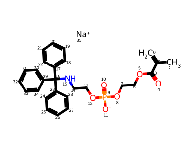 C=C(C)C(=O)OCCOP(=O)([O-])OCCNC(c1ccccc1)(c1ccccc1)c1ccccc1.[Na+]